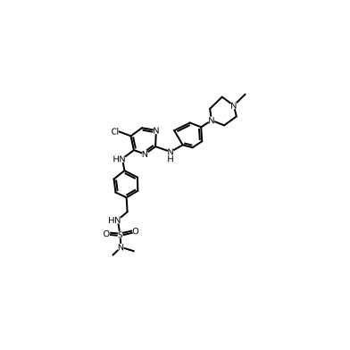 CN1CCN(c2ccc(Nc3ncc(Cl)c(Nc4ccc(CNS(=O)(=O)N(C)C)cc4)n3)cc2)CC1